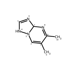 CC1=CN2NC=NC2N=C1C